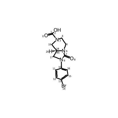 O=C(O)N1CCN2C(=O)N(c3ccc(Br)cc3)C[C@@H]2C1